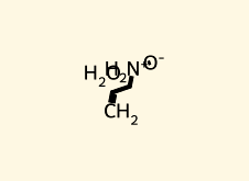 C=CC[NH2+][O-].O